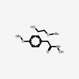 CCCCOCCO.CCCCOc1ccc(CC(=O)NO)cc1